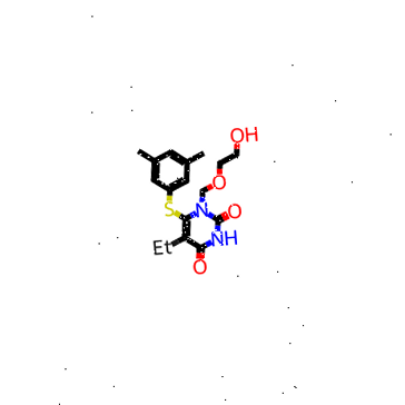 CCc1c(Sc2cc(C)cc(C)c2)n(COCCO)c(=O)[nH]c1=O